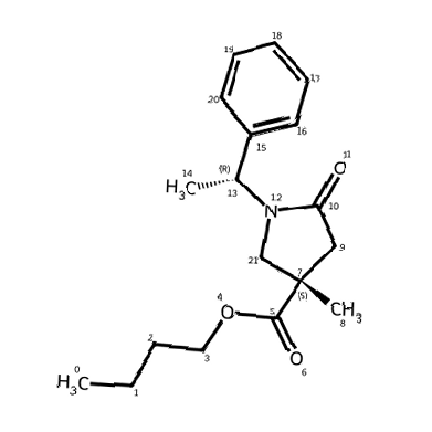 CCCCOC(=O)[C@@]1(C)CC(=O)N([C@H](C)c2ccccc2)C1